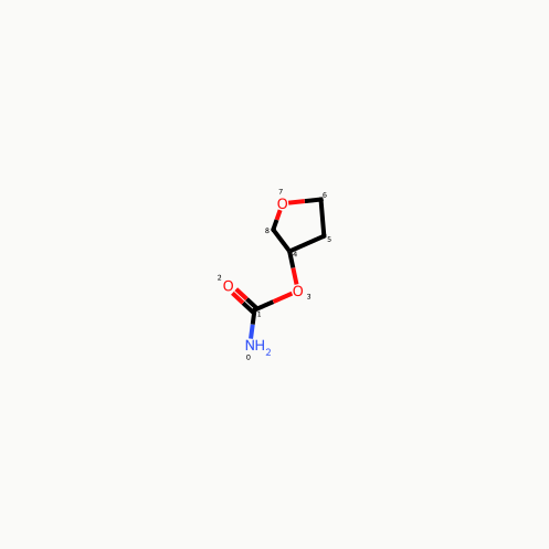 NC(=O)OC1CCOC1